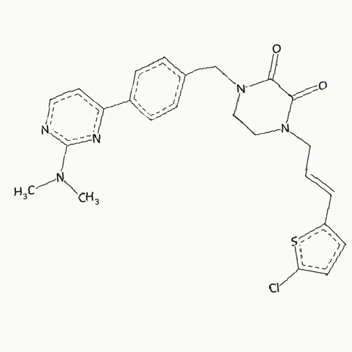 CN(C)c1nccc(-c2ccc(CN3CCN(C/C=C/c4ccc(Cl)s4)C(=O)C3=O)cc2)n1